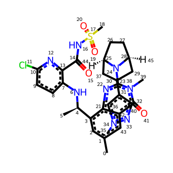 Cc1cc([C@@H](C)Nc2ccc(Cl)nc2C(=O)NS(C)(=O)=O)c2nc(N3[C@@H]4CC[C@H]3CC(c3cnn(C)c3)C4)n(C)c(=O)c2c1